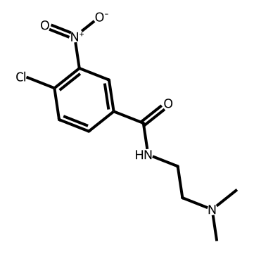 CN(C)CCNC(=O)c1ccc(Cl)c([N+](=O)[O-])c1